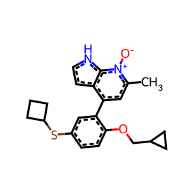 Cc1cc(-c2cc(SC3CCC3)ccc2OCC2CC2)c2cc[nH]c2[n+]1[O-]